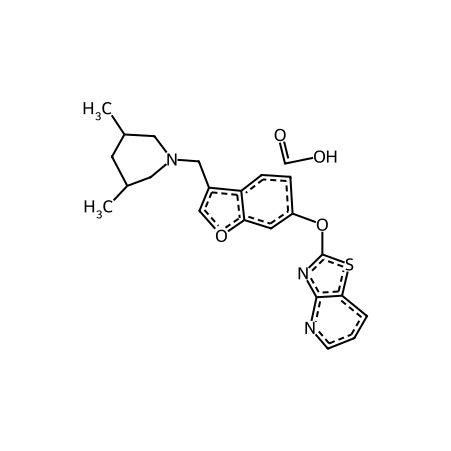 CC1CC(C)CN(Cc2coc3cc(Oc4nc5ncccc5s4)ccc23)C1.O=CO